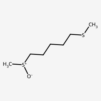 CSCCCCC[S+](C)[O-]